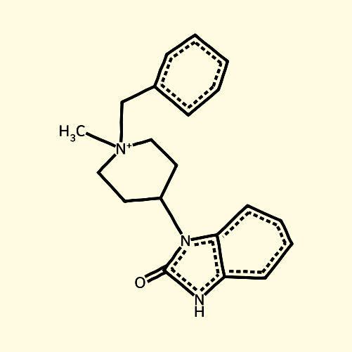 C[N+]1(Cc2ccccc2)CCC(n2c(=O)[nH]c3ccccc32)CC1